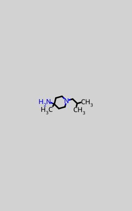 C[C](C)CN1CCC(C)(N)CC1